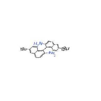 CC(C)(C)c1ccc2c(-c3c(N)ccc4cc(C(C)(C)C)ccc34)c(N)ccc2c1